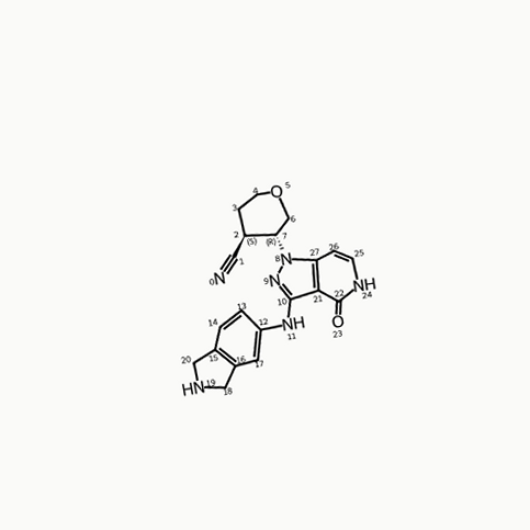 N#C[C@H]1CCOC[C@@H]1n1nc(Nc2ccc3c(c2)CNC3)c2c(=O)[nH]ccc21